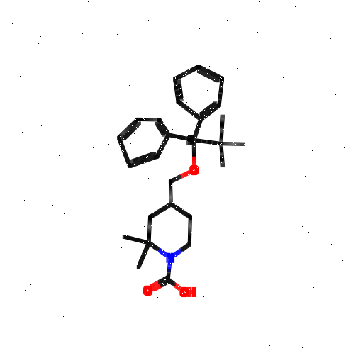 CC1(C)CC(CO[Si](c2ccccc2)(c2ccccc2)C(C)(C)C)CCN1C(=O)O